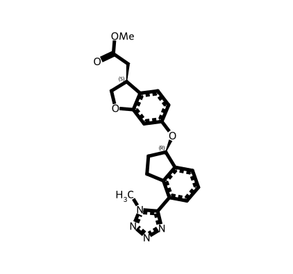 COC(=O)C[C@@H]1COc2cc(O[C@@H]3CCc4c(-c5nnnn5C)cccc43)ccc21